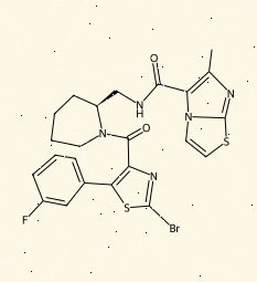 Cc1nc2sccn2c1C(=O)NC[C@@H]1CCCCN1C(=O)c1nc(Br)sc1-c1cccc(F)c1